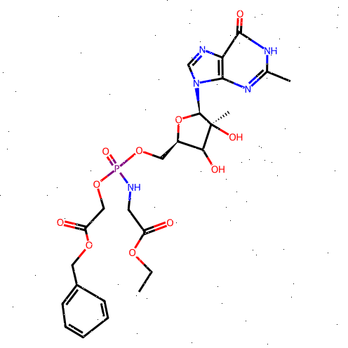 CCOC(=O)CNP(=O)(OCC(=O)OCc1ccccc1)OC[C@H]1O[C@@H](n2cnc3c(=O)[nH]c(C)nc32)[C@@](C)(O)C1O